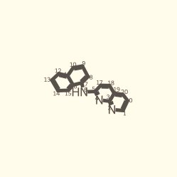 c1cnc2nc(Nc3cccc4ccccc34)ccc2c1